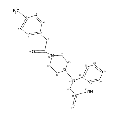 O=C(Cc1ccc(C(F)(F)F)cc1)N1CCC(N2CC(=S)Nc3ccccc32)CC1